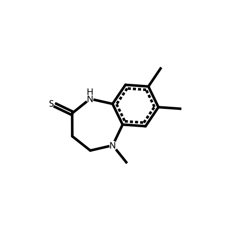 Cc1cc2c(cc1C)N(C)CCC(=S)N2